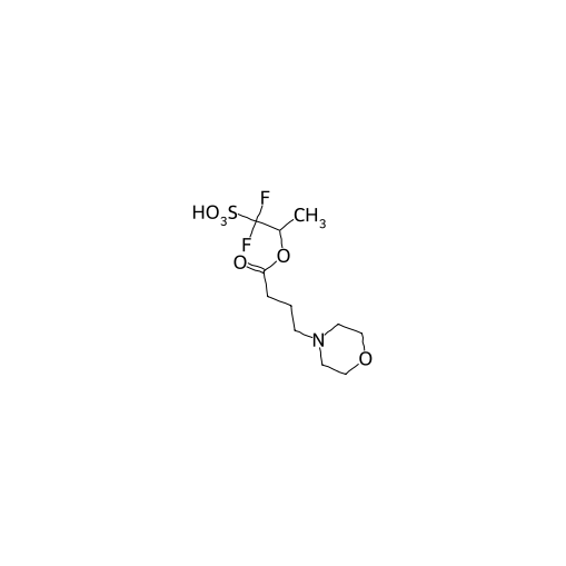 CC(OC(=O)CCCN1CCOCC1)C(F)(F)S(=O)(=O)O